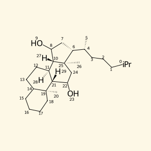 CC(C)CCC[C@@H](C)[C@H]1CC(O)[C@H]2[C@@H]3CCC4CCCC[C@]4(C)[C@H]3C(O)C[C@]12C